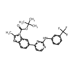 Cc1nc2ccc(-c3ccnc(Nc4cccc(C(F)(F)F)c4)n3)cc2n1C(=O)OC(C)(C)C